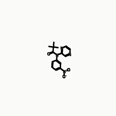 CC(C)(C)C(=O)N(c1cccc([N+](=O)[O-])c1)c1cnccn1